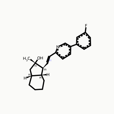 C[C@]1(O)C[C@H]2CCCC[C@H]2[C@@H]1/C=C/c1ccc(-c2cccc(F)c2)cn1